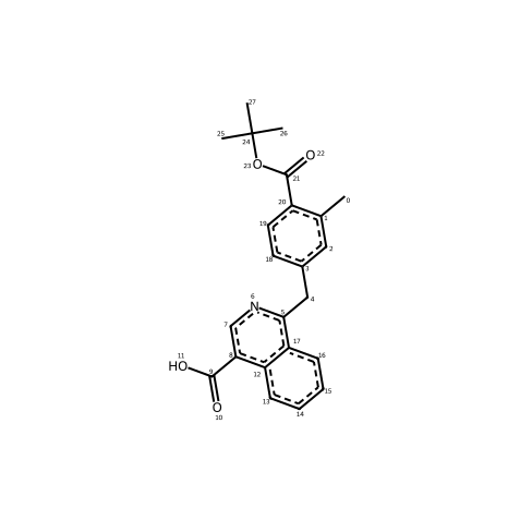 Cc1cc(Cc2ncc(C(=O)O)c3ccccc23)ccc1C(=O)OC(C)(C)C